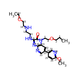 CCCOCCn1c(=O)c(NCCNCCOCC)nc2ncc(-c3ccc(OC)nc3)cc21